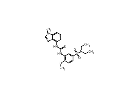 CCN(CC)S(=O)(=O)c1ccc(OC)c(NC(=S)Nc2cccc3c2ncn3C)c1